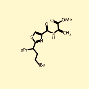 C=C(NC(=O)c1csc(C(CCC)CCC(C)CC)n1)C(=O)OC